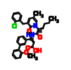 CCCC[C@@H](C(=O)N[C@@H](CC(=O)O)c1cccc(-c2ccccc2OC)c1)n1cc(C)cc(Cc2ccccc2Cl)c1=O